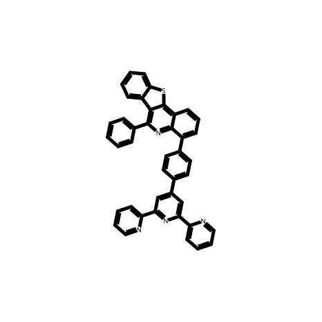 c1ccc(-c2nc3c(-c4ccc(-c5cc(-c6ccccn6)nc(-c6ccccn6)c5)cc4)cccc3c3sc4ccccc4c23)cc1